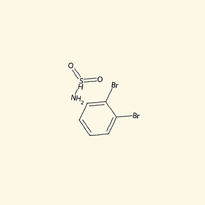 Brc1ccccc1Br.N[SH](=O)=O